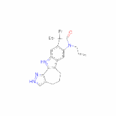 C=CCN1C(=O)C(CC)(CC)c2cc3[nH]c4c(c3cc21)CCCc1c[nH]nc1-4